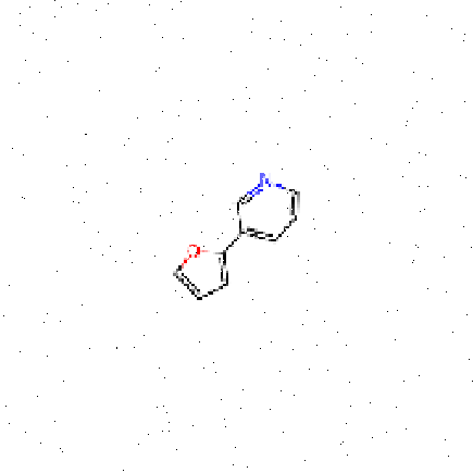 [c]1ncccc1-c1ccco1